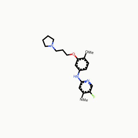 CNc1cc(Nc2ccc(OC)c(OCCCN3CCCC3)c2)ncc1F